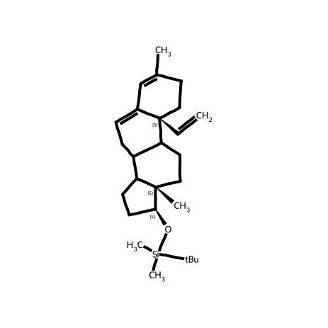 C=C[C@]12CCC(C)=CC1=CCC1C2CC[C@@]2(C)C1CC[C@@H]2O[Si](C)(C)C(C)(C)C